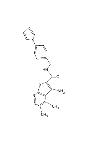 Cc1nnc2sc(C(=O)NCc3ccc(-n4cccc4)cc3)c(N)c2c1C